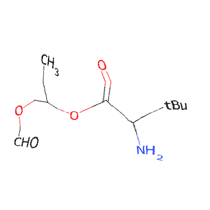 CC(OC=O)OC(=O)C(N)C(C)(C)C